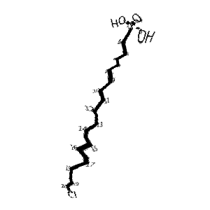 O=P(O)(O)CCCCCCCCCCCCCCCCCCl